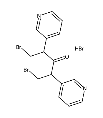 Br.O=C(C(CBr)c1cccnc1)C(CBr)c1cccnc1